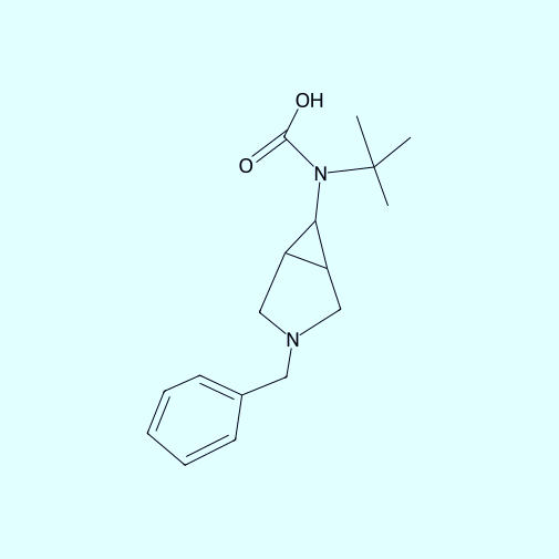 CC(C)(C)N(C(=O)O)C1C2CN(Cc3ccccc3)CC21